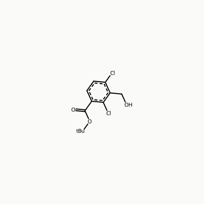 CC(C)(C)OC(=O)c1ccc(Cl)c(CO)c1Cl